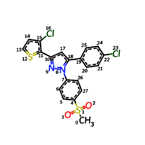 CS(=O)(=O)c1ccc(-n2nc(-c3sccc3Cl)cc2-c2ccc(Cl)cc2)cc1